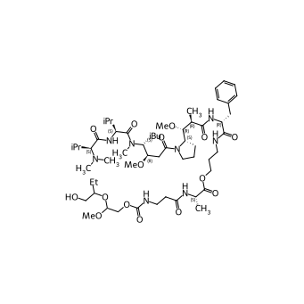 CCC(CO)OC(COC(=O)NCCC(=O)N[C@@H](C)C(=O)OCCCNC(=O)[C@@H](Cc1ccccc1)NC(=O)[C@H](C)[C@@H](OC)[C@@H]1CCCN1C(=O)C[C@@H](OC)C([C@@H](C)CC)N(C)C(=O)[C@@H](NC(=O)[C@H](C(C)C)N(C)C)C(C)C)OC